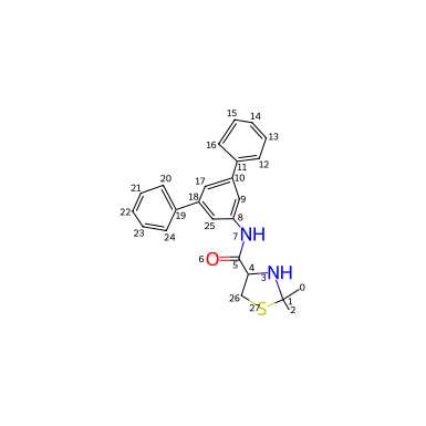 CC1(C)NC(C(=O)Nc2cc(-c3ccccc3)cc(-c3ccccc3)c2)CS1